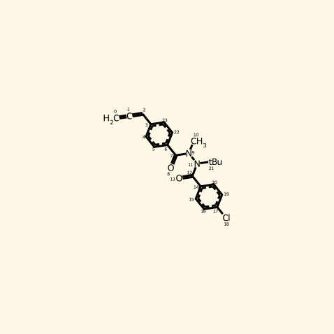 C=C=Cc1ccc(C(=O)N(C)N(C(=O)c2ccc(Cl)cc2)C(C)(C)C)cc1